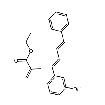 C=C(C)C(=O)OCC.Oc1cccc(C=CC=Cc2ccccc2)c1